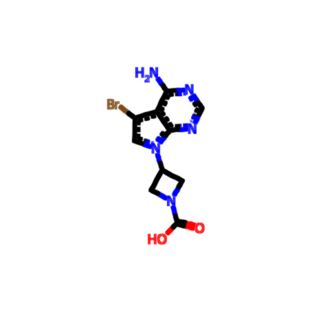 Nc1ncnc2c1c(Br)cn2C1CN(C(=O)O)C1